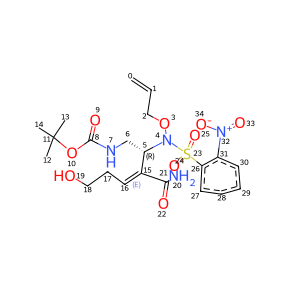 C=CCON([C@@H](CNC(=O)OC(C)(C)C)/C(=C\CCO)C(N)=O)S(=O)(=O)c1ccccc1[N+](=O)[O-]